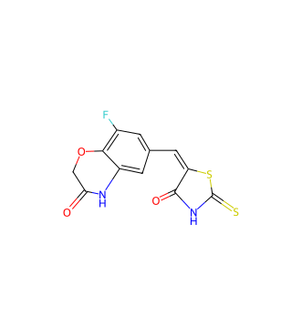 O=C1COc2c(F)cc(C=C3SC(=S)NC3=O)cc2N1